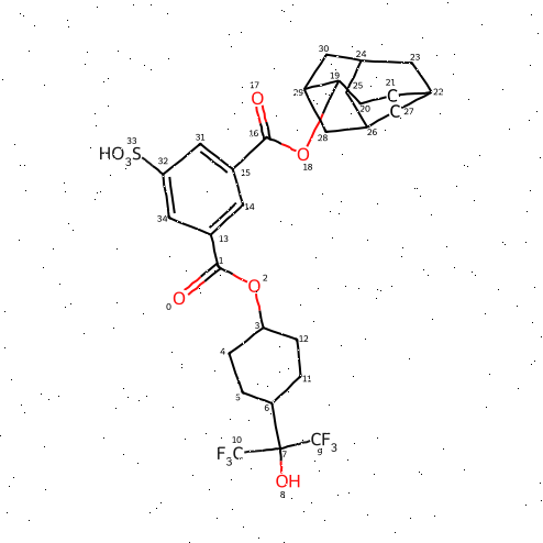 O=C(OC1CCC(C(O)(C(F)(F)F)C(F)(F)F)CC1)c1cc(C(=O)OC2CCC3CC4CC(C3)CC2C4)cc(S(=O)(=O)O)c1